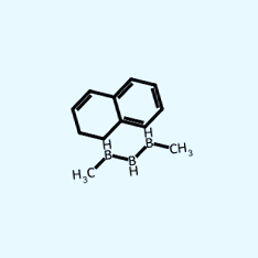 C1=Cc2ccccc2CC1.CBBBC